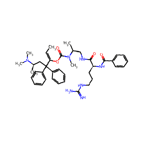 C/C=C(\OC(=O)N(C)C(C)CNC(=O)[C@H](CCCNC(=N)N)NC(=O)c1ccccc1)C(C[C@@H](C)N(C)C)(c1ccccc1)c1ccccc1